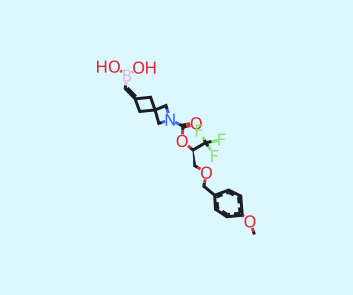 COc1ccc(COC[C@@H](OC(=O)N2CC3(CC(=CB(O)O)C3)C2)C(F)(F)F)cc1